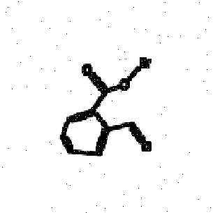 O=Cc1ccccc1C(=O)OBr